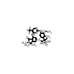 CCC(CC)(c1ccc(Nc2ncc(C(F)(F)F)c(Nc3cccc4c3C(=O)N(C)C4(C)C)n2)c(OC)c1)P(=O)(O)O